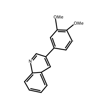 COc1[c]cc(-c2cnc3ccccc3c2)cc1OC